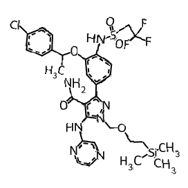 CC(Oc1cc(-c2nn(COCC[Si](C)(C)C)c(Nc3cnccn3)c2C(N)=O)ccc1NS(=O)(=O)CC(F)(F)F)c1ccc(Cl)cc1